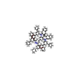 c1ccc(-c2cc(-c3ccccc3)cc(-c3cc(-c4cc5c6c(c4)N(c4cc(-c7ccccc7)cc(-c7ccccc7)c4)c4cc7ccccc7cc4B6c4cc6ccccc6cc4N5c4cc(-c5ccccc5)cc(-c5ccccc5)c4)cc(-c4cc(-c5ccccc5)cc(-c5ccccc5)c4)n3)c2)cc1